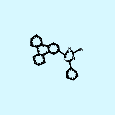 CC(C)c1nc(-c2ccccc2)nc(-c2ccc3c4ccccc4c4ccccc4c3c2)n1